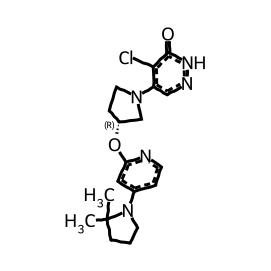 CC1(C)CCCN1c1ccnc(O[C@@H]2CCN(c3cn[nH]c(=O)c3Cl)C2)c1